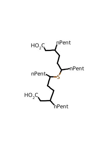 CCCCCC(CCC(CCCCC)SC(CCCCC)CCC(CCCCC)CC(=O)O)CC(=O)O